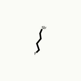 FCCC[CH2][Sb]